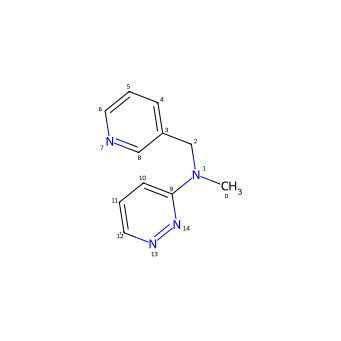 CN(Cc1cccnc1)c1cc[c]nn1